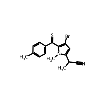 Cc1ccc(C(=S)c2c(Br)cc(C(C)C#N)n2C)cc1